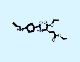 C=CCNc1ccc(C(=O)N[C@H](CCC(=O)OCC)C(=O)OCC)cc1